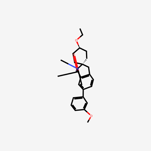 CCO[C@H]1CC[C@]2(CC1)Cc1ccc(-c3cccc(OC)c3)cc1C21N=C(C)N(C)C1=O